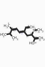 C=C/C(=C\C=C(\C)C(C)C)CC(SC)C(=C)O